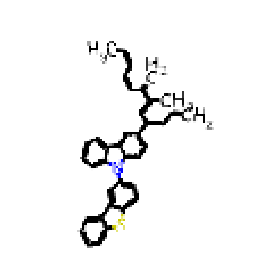 C=C/C=C(\C=C(/C)C(=C)/C=C\C=C/C)c1ccc2c(c1)c1ccccc1n2-c1ccc2sc3ccccc3c2c1